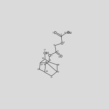 CCC(C)C(=O)OCC(=O)OC12CC3CC(CC(C3)C1O)C2